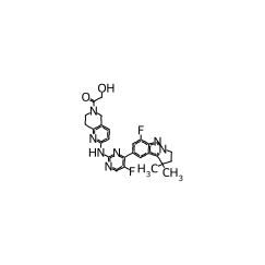 CC1(C)CCn2nc3c(F)cc(-c4nc(Nc5ccc6c(n5)CCN(C(=O)CO)C6)ncc4F)cc3c21